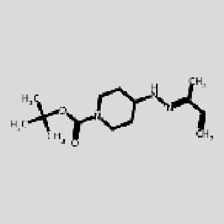 C=C/C(C)=N/NC1CCN(C(=O)OC(C)(C)C)CC1